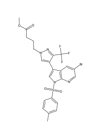 COC(=O)CCCn1cc(-c2cn(S(=O)(=O)c3ccc(C)cc3)c3ncc(Br)cc23)c(C(F)(F)F)n1